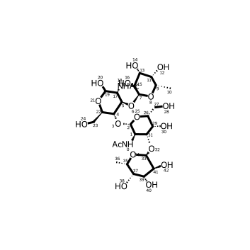 CC(=O)N[C@H]1[C@H](O[C@H]2[C@H](O[C@@H]3O[C@@H](C)[C@@H](O)[C@@H](O)[C@@H]3O)[C@@H](NC(C)=O)C(O)O[C@@H]2CO)O[C@H](CO)[C@H](O)[C@@H]1O[C@@H]1O[C@@H](C)[C@@H](O)[C@@H](O)[C@@H]1O